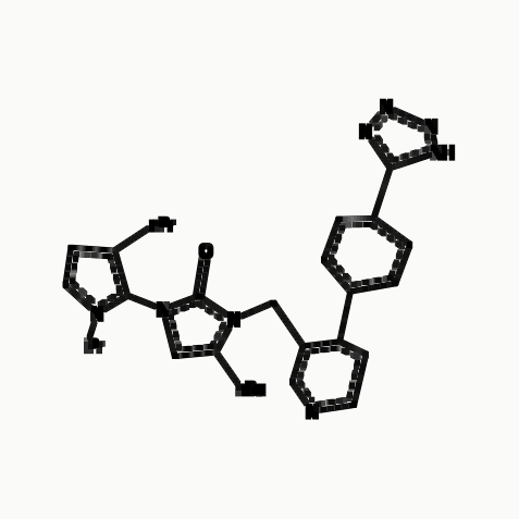 CCCCc1cn(-c2c(CCC)ccn2C(C)C)c(=O)n1Cc1cnccc1-c1ccc(-c2nnn[nH]2)cc1